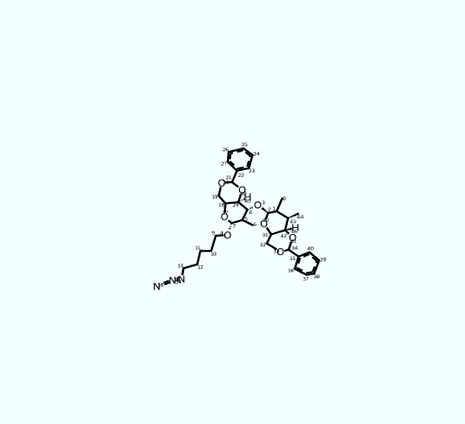 CC1[C@H](O[C@@H]2C(C)[C@H](OCCCCCN=[N+]=[N-])OC3COC(c4ccccc4)O[C@H]32)OC2COC(c3ccccc3)O[C@H]2[C@@H]1C